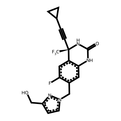 O=C1Nc2cc(Cn3ccc(CO)n3)c(F)cc2[C@@](C#CC2CC2)(C(F)(F)F)N1